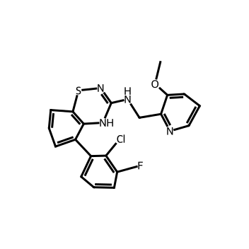 COc1cccnc1CNC1=NSc2cccc(-c3cccc(F)c3Cl)c2N1